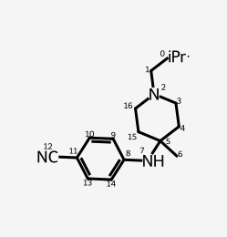 C[C](C)CN1CCC(C)(Nc2ccc(C#N)cc2)CC1